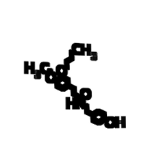 CCCCCOc1cc(C=CC(=O)NCCc2ccc(O)cc2)ccc1OCC